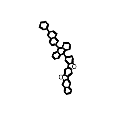 c1ccc(-c2ccc3cc(-c4c5ccccc5c(-c5ccc6oc7cc8c(cc7c6c5)oc5cc6ccccc6cc58)c5ccccc45)ccc3c2)cc1